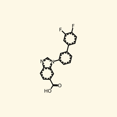 O=C(O)c1ccc2ncn(-c3cccc(-c4ccc(F)c(F)c4)c3)c2c1